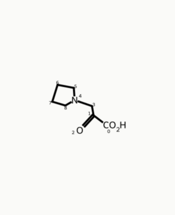 O=C(O)C(=O)CN1CCCC1